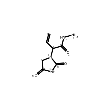 C=CC(C(=O)NN)N1CC(=O)NC1=O